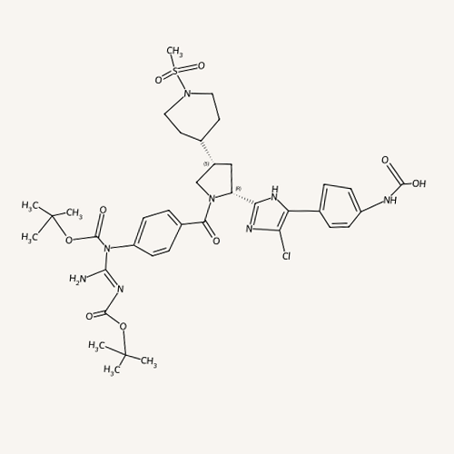 CC(C)(C)OC(=O)N=C(N)N(C(=O)OC(C)(C)C)c1ccc(C(=O)N2C[C@H](C3CCN(S(C)(=O)=O)CC3)C[C@@H]2c2nc(Cl)c(-c3ccc(NC(=O)O)cc3)[nH]2)cc1